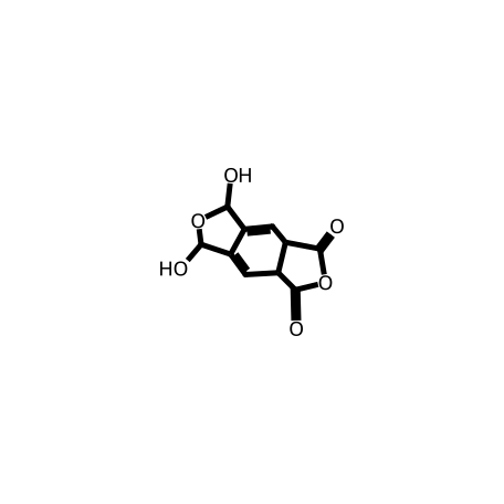 O=C1OC(=O)C2C=C3C(=CC12)C(O)OC3O